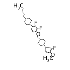 CCCCCC1CCC(c2ccc(OCC3CCC(c4ccc(OC)c(F)c4)CC3)c(F)c2F)CC1